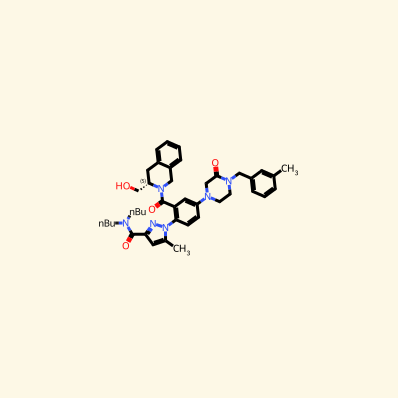 CCCCN(CCCC)C(=O)c1cc(C)n(-c2ccc(N3CCN(Cc4cccc(C)c4)C(=O)C3)cc2C(=O)N2Cc3ccccc3C[C@H]2CO)n1